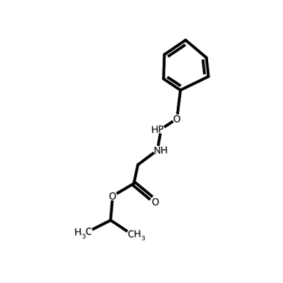 CC(C)OC(=O)CNPOc1ccccc1